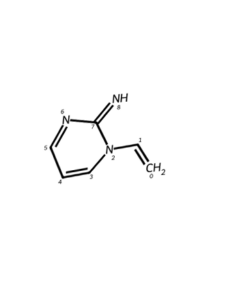 C=Cn1cccnc1=N